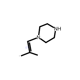 [CH2]/C(C)=C/N1CCNCC1